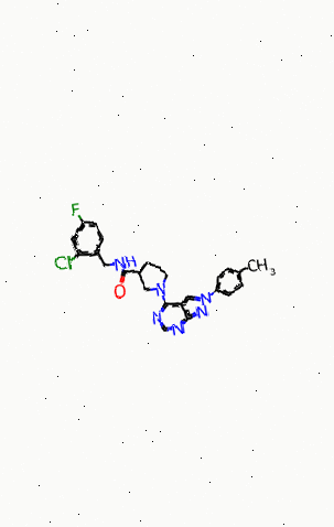 Cc1ccc(-n2cc3c(N4CCCC(C(=O)NCc5ccc(F)cc5Cl)C4)ncnc3n2)cc1